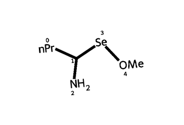 CCCC(N)[Se]OC